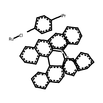 Cc1ccc(C(C)C)cc1.[Cl][Ru].c1ccc(P(c2ccccc2)c2ccc3ccccc3c2-c2c(P(c3ccccc3)c3ccccc3)ccc3ccccc23)cc1